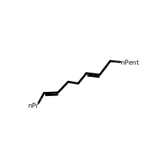 CCCC=CCC/[C]=C/CCCCCC